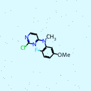 COc1ccc(F)c(N(C)c2ccnc(Cl)n2)c1